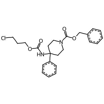 O=C(NC1(c2ccccc2)CCN(C(=O)OCc2ccccc2)CC1)OCCCCl